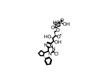 CO[C@H](COP(=O)(O)CP(=O)(O)O)[C@@H](O)[C@@H](O)c1cnc2c(C3CCC[C@H]3c3ccccc3)nc(Cl)nn12